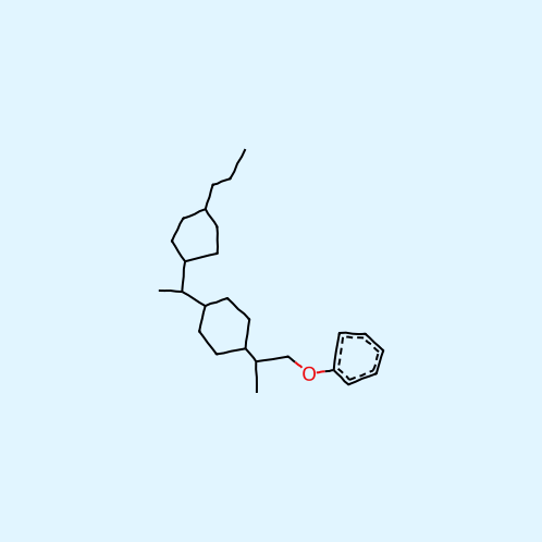 CCCC1CCC(C(C)C2CCC(C(C)COc3ccccc3)CC2)CC1